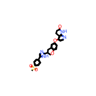 CS(=O)(=O)c1ccc(-c2cnc(C3COc4ccc(Oc5ccnc6c5CCC(=O)N6)cc4C3)[nH]2)cc1